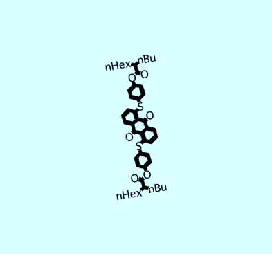 CCCCCCC(CCCC)C(=O)Oc1ccc(Sc2cccc3c2C(=O)c2cccc(Sc4ccc(OC(=O)C(CCCC)CCCCCC)cc4)c2C3=O)cc1